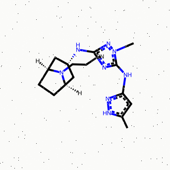 Cc1cc(Nc2nc(N[C@@H]3C[C@H]4CC[C@@H](C3)N4CCC#N)nn2C)n[nH]1